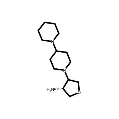 N[C@H]1COCC1N1CCC(N2CCCCC2)CC1